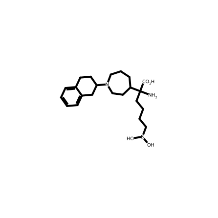 NC(CCCCB(O)O)(C(=O)O)C1CCCN(C2CCc3ccccc3C2)CC1